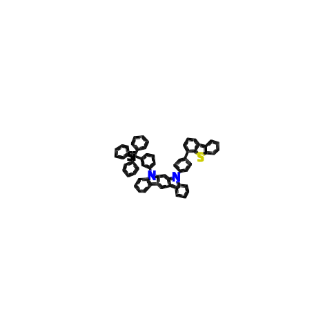 c1ccc([Si](c2ccccc2)(c2ccccc2)c2cccc(-n3c4ccccc4c4cc5c6ccccc6n(-c6ccc(-c7cccc8c7sc7ccccc78)cc6)c5cc43)c2)cc1